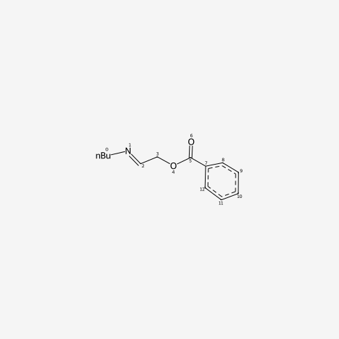 CCCCN=CCOC(=O)c1ccccc1